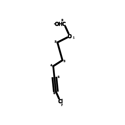 O=[C]OCCCC#CCl